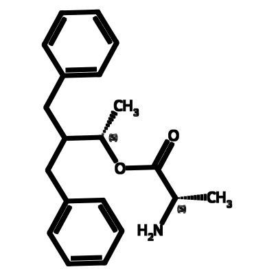 C[C@H](N)C(=O)O[C@@H](C)C(Cc1ccccc1)Cc1ccccc1